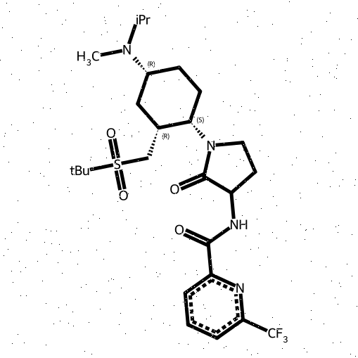 CC(C)N(C)[C@@H]1CC[C@H](N2CCC(NC(=O)c3cccc(C(F)(F)F)n3)C2=O)[C@H](CS(=O)(=O)C(C)(C)C)C1